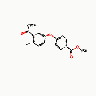 COC(=O)c1cc(Oc2ccc(C(=O)OC(C)(C)C)cc2)ccc1C